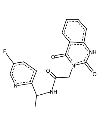 CC(NC(=O)Cn1c(=O)[nH]c2ccccc2c1=O)c1ccc(F)cn1